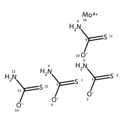 NC([O-])=S.NC([O-])=S.NC([O-])=S.NC([O-])=S.[Mo+4]